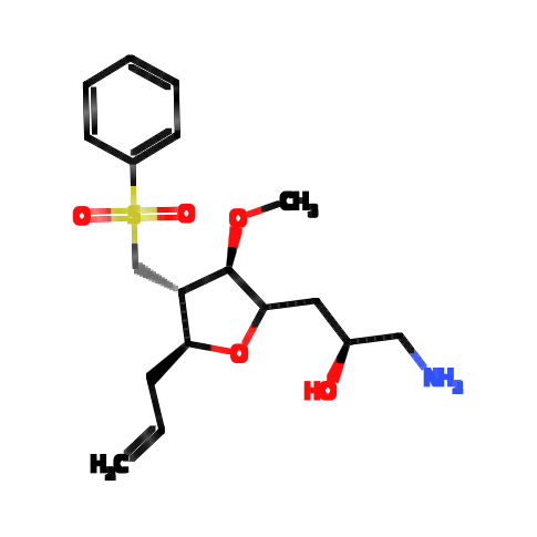 C=CC[C@@H]1OC(C[C@H](O)CN)[C@H](OC)[C@H]1CS(=O)(=O)c1ccccc1